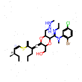 C=C(S/C=C\[C@H](C)CC)C(=C=C1OC(CNNC)C(/C(=N/CC)N(C)c2cc(Cl)ccc2Br)OC1CO)CCC